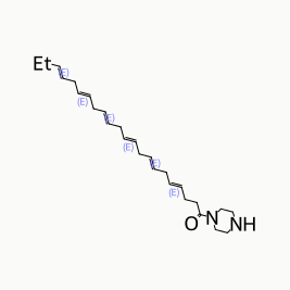 CC/C=C/C/C=C/C/C=C/C/C=C/C/C=C/C/C=C/CCC(=O)N1CCNCC1